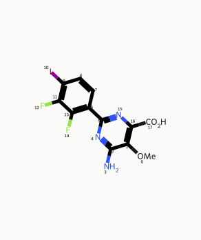 COc1c(N)nc(-c2ccc(I)c(F)c2F)nc1C(=O)O